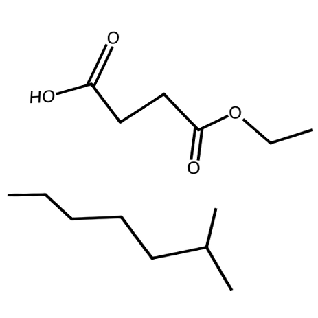 CCCCCC(C)C.CCOC(=O)CCC(=O)O